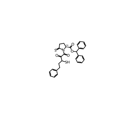 O=C(C(=O)N1C(=S)CC[C@H]1C(=O)OC(c1ccccc1)c1ccccc1)C(S)CCc1ccccc1